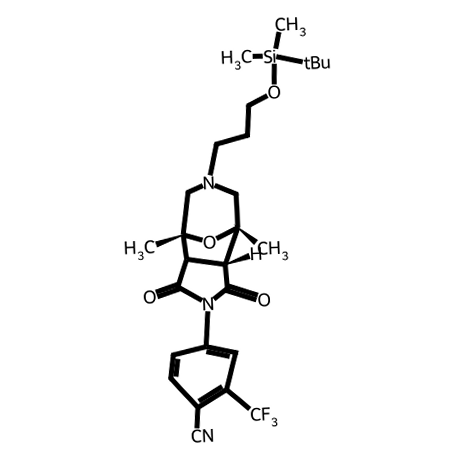 CC(C)(C)[Si](C)(C)OCCCN1C[C@@]2(C)O[C@@](C)(C1)C1C(=O)N(c3ccc(C#N)c(C(F)(F)F)c3)C(=O)[C@H]12